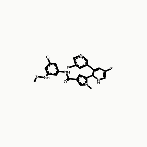 CSNc1cc(Cl)cc(NC(=O)c2cc(C3NC=C(F)C=C3c3cncc(F)c3)n(C)c2)c1